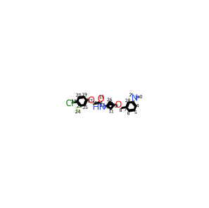 CN(C)c1cccc(COC23CC(NC(=O)COc4ccc(Cl)c(F)c4)(C2)C3)c1